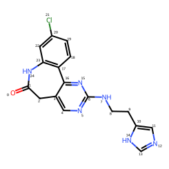 O=C1Cc2cnc(NCCc3cnc[nH]3)nc2-c2ccc(Cl)cc2N1